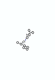 CCC1(CC)c2cc(/C=C/C3=CC=C(c4cc(-c5ccccc5)ccc4-c4ccc5c6cccc7cccc(c8cccc4c85)c76)CC3)ccc2-c2ccc(N(c3ccccc3)c3ccccc3)cc21